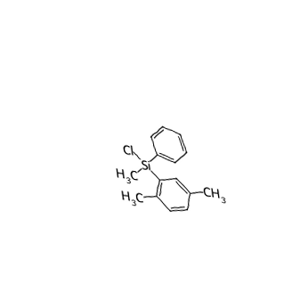 Cc1ccc(C)c([Si](C)(Cl)c2ccccc2)c1